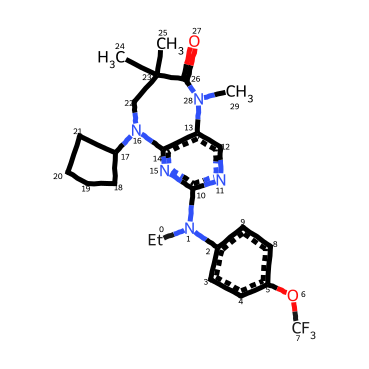 CCN(c1ccc(OC(F)(F)F)cc1)c1ncc2c(n1)N(C1CCCC1)CC(C)(C)C(=O)N2C